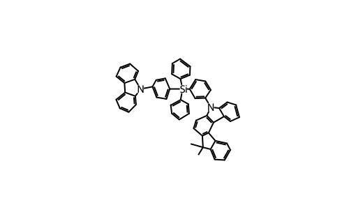 CC1(C)c2ccccc2-c2c1ccc1c2c2ccccc2n1-c1cccc([Si](c2ccccc2)(c2ccccc2)c2ccc(-n3c4ccccc4c4ccccc43)cc2)c1